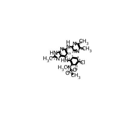 Cc1nc2c(Nc3ccc(Cl)cc3N(C)S(C)(=O)=O)cc(Nc3cnc(C)c(C)n3)nc2[nH]1